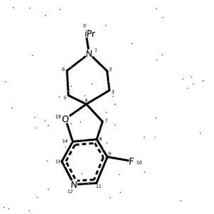 CC(C)N1CCC2(CC1)Cc1c(F)cncc1O2